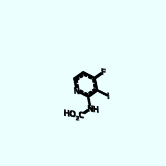 O=C(O)Nc1nccc(F)c1I